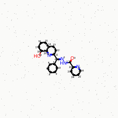 O=C(N/N=C(\c1ccccc1)c1ccc2cccc(O)c2n1)c1ccccn1